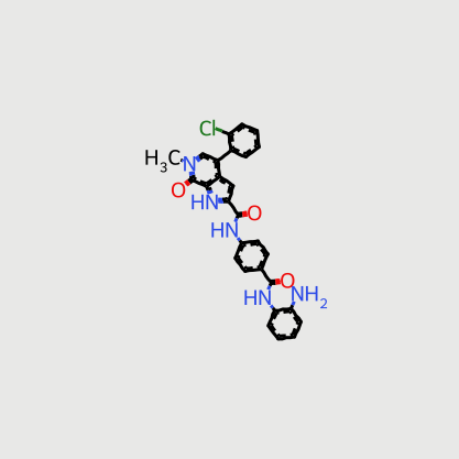 Cn1cc(-c2ccccc2Cl)c2cc(C(=O)Nc3ccc(C(=O)Nc4ccccc4N)cc3)[nH]c2c1=O